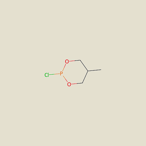 CC1COP(Cl)OC1